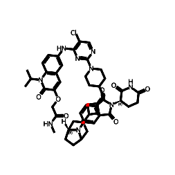 CNC(=O)COc1cc2cc(Nc3nc(N4CCC(OC5CC(N6CC7CC[C@H](C6)N7c6ccc7c(c6)C(=O)N([C@@H]6CCC(=O)NC6=O)C7=O)C5)CC4)ncc3Cl)ccc2n(C(C)C)c1=O